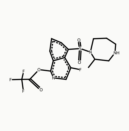 CC1CNCCCN1S(=O)(=O)c1cccc2c(OC(=O)C(F)(F)F)ncc(F)c12